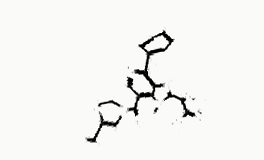 CCn1c(-c2nonc2N)nc2c(-c3ccccc3)ncc(C(=O)N3CCNC(CO)C3)c21.Cl